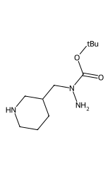 CC(C)(C)OC(=O)N(N)CC1CCCNC1